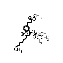 CCCCCCCc1cc(OC(=O)OC(C)(C)C)c2cc(CCC(=O)OC)ccc2[n+]1[O-]